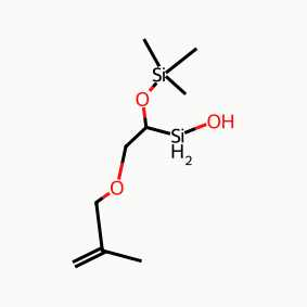 C=C(C)COCC(O[Si](C)(C)C)[SiH2]O